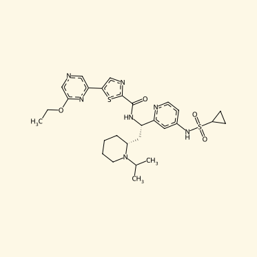 CCOc1cncc(-c2cnc(C(=O)N[C@@H](C[C@H]3CCCCN3C(C)C)c3cc(NS(=O)(=O)C4CC4)ccn3)s2)n1